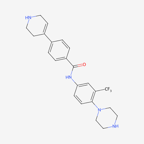 O=C(Nc1ccc(N2CCNCC2)c(C(F)(F)F)c1)c1ccc(C2=CCNCC2)cc1